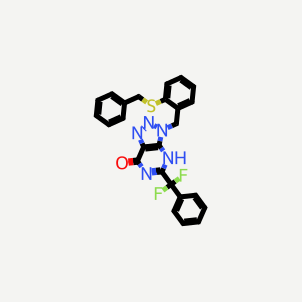 O=c1nc(C(F)(F)c2ccccc2)[nH]c2c1nnn2Cc1ccccc1SCc1ccccc1